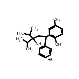 Br.Cc1ccc(O)c(C(CC(N)(C(C)C)C(C)C)c2ccccc2)c1